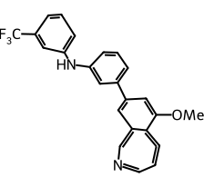 COc1cc(-c2cccc(Nc3cccc(C(F)(F)F)c3)c2)cc2c1=C=CC=NC=2